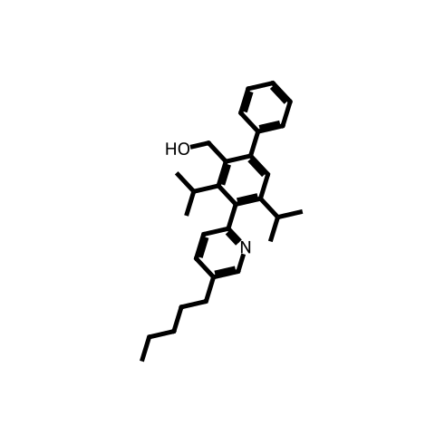 CCCCCc1ccc(-c2c(C(C)C)cc(-c3ccccc3)c(CO)c2C(C)C)nc1